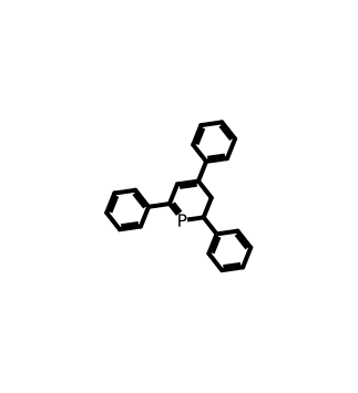 C1=C(c2ccccc2)CC(c2ccccc2)P=C1c1ccccc1